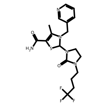 CC1=C(C(N)=O)SC(N2CCN(CCCC(F)(F)F)C2=O)N1Cc1cccnc1